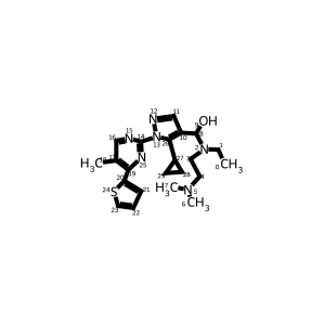 CCN(CCN(C)C)C(O)c1cnn(-c2ncc(C)c(-c3cccs3)n2)c1C1CC1